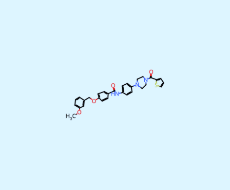 COc1cccc(COc2ccc(C(=O)Nc3ccc(N4CCN(C(=O)c5cccs5)CC4)cc3)cc2)c1